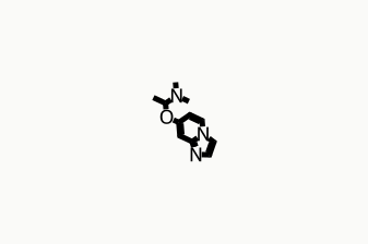 CC(Oc1ccn2ccnc2c1)N(C)C